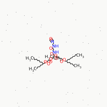 CCCCCCCCC(CCCCCC)COC(=O)CCCC(=O)OC(C(=O)NCCC(=O)NCCN1CCOCC1)C(C)(C)COC(=O)CC(=O)OCC(CCCCCC)CCCCCCCC